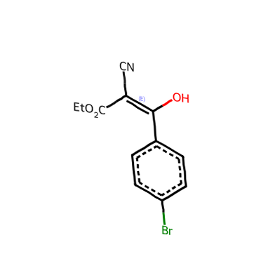 CCOC(=O)/C(C#N)=C(/O)c1ccc(Br)cc1